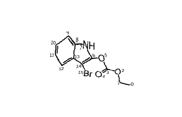 CCOC(=O)Oc1[nH]c2ccccc2c1Br